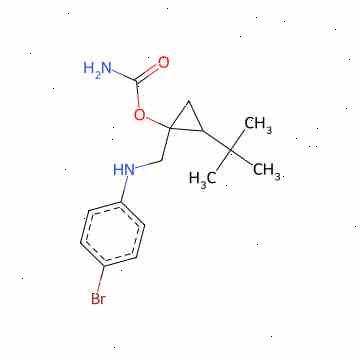 CC(C)(C)C1CC1(CNc1ccc(Br)cc1)OC(N)=O